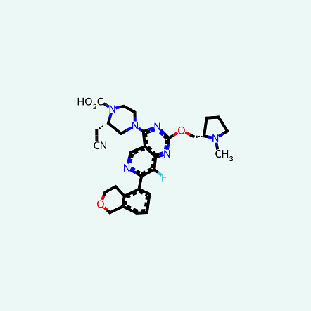 CN1CCC[C@H]1COc1nc(N2CCN(C(=O)O)[C@@H](CC#N)C2)c2cnc(-c3cccc4c3CCOC4)c(F)c2n1